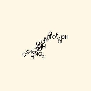 O=C(NS(=O)(=O)c1ccc(NCCSc2ccccc2)c([N+](=O)[O-])c1)c1ccc(N2CCN(C(=O)c3ccc(-c4cncc(O)c4)c(F)c3)CC2)cc1